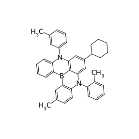 Cc1cccc(N2c3ccccc3B3c4cc(C)ccc4N(c4ccccc4C)c4cc(C5CCCCC5)cc2c43)c1